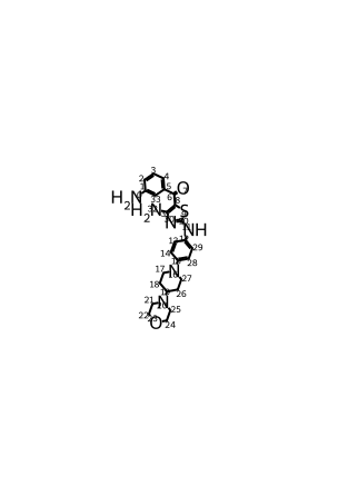 Nc1cccc(C(=O)c2sc(Nc3ccc(N4CCC(N5CCOCC5)CC4)cc3)nc2N)c1